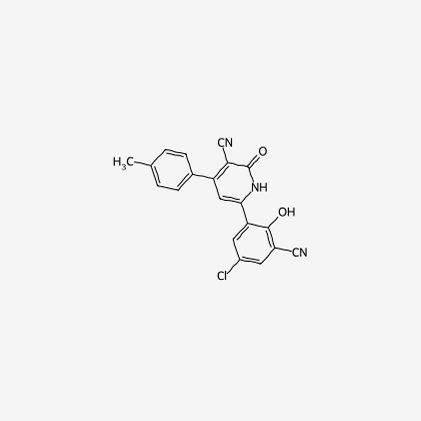 Cc1ccc(-c2cc(-c3cc(Cl)cc(C#N)c3O)[nH]c(=O)c2C#N)cc1